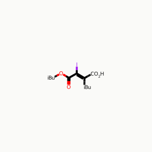 CCC(C)OC(=O)C(I)=C(C(=O)O)C(C)CC